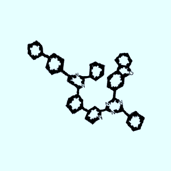 c1ccc(-c2ccc(-c3cc(-c4cccc(-c5ccnc(-c6nc(-c7ccccc7)nc(-c7ccc8c(c7)oc7ccccc78)n6)c5)c4)nc(-c4ccccc4)n3)cc2)cc1